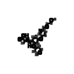 COCCOCc1ccc(Oc2ccc(N/N=C(\C)C(=O)O)c(OC3CCOCC3)c2)cn1